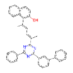 C/C(=C\C=C(/C)c1c(O)ccc2ccccc12)c1nc(-c2ccccc2)nc(-c2cccc(-c3ccccc3)c2)n1